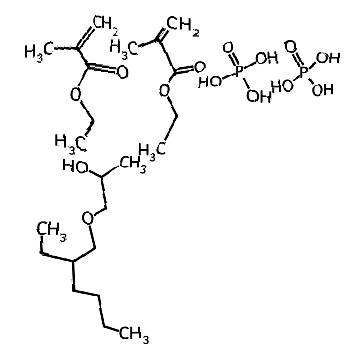 C=C(C)C(=O)OCC.C=C(C)C(=O)OCC.CCCCC(CC)COCC(C)O.O=P(O)(O)O.O=P(O)(O)O